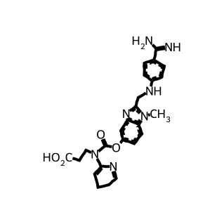 Cn1c(CNc2ccc(C(=N)N)cc2)nc2cc(OC(=O)N(CCC(=O)O)C3=CCCC=N3)ccc21